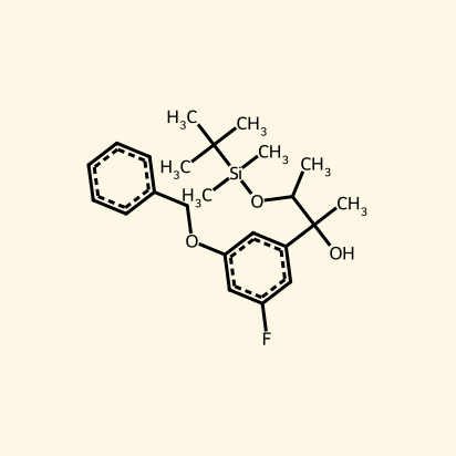 CC(O[Si](C)(C)C(C)(C)C)C(C)(O)c1cc(F)cc(OCc2ccccc2)c1